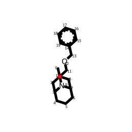 CC1CC2CCCC(C1)N2CCOCc1ccccc1